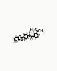 CN(C)c1cccc(C(=O)Nc2ccc(-c3nc4cccnc4[nH]3)cc2)c1